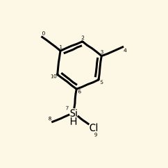 Cc1cc(C)cc([SiH](C)Cl)c1